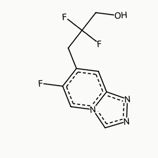 OCC(F)(F)Cc1cc2nncn2cc1F